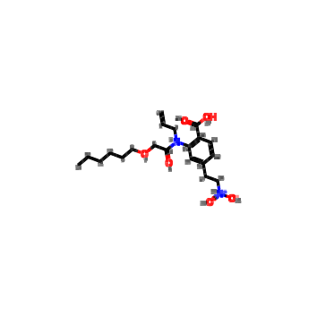 C=CCN(C(=O)COCCCCCC)c1cc(CC[N+](=O)[O-])ccc1C(=O)O